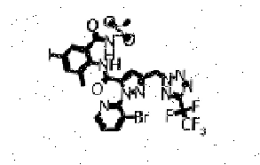 Cc1cc(I)cc(C(=O)NS(C)(=O)=O)c1NC(=O)c1cc(Cn2nnc(C(F)(F)C(F)(F)F)n2)nn1-c1ncccc1Br